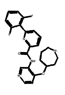 O=C(Nc1cnccc1OC1CCCNCC1)c1cccc(-c2c(F)cccc2F)n1